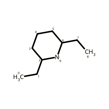 CCC1CCCC(CC)[N]1